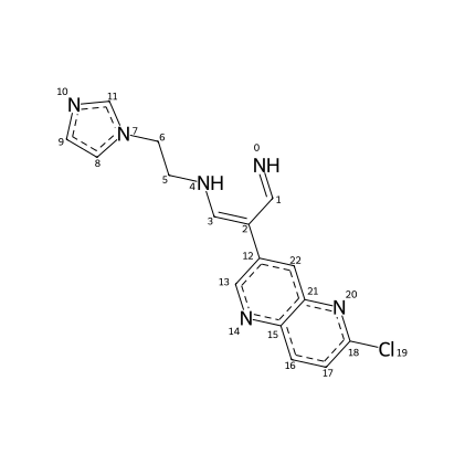 N=C/C(=C\NCCn1ccnc1)c1cnc2ccc(Cl)nc2c1